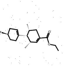 CCOC(=O)C1=C[C@H](C)[C@H](C2=CC[C@H](F)CC2)[C@H](C)C1